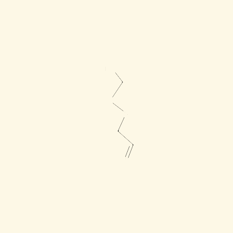 C=CCSSCC=O